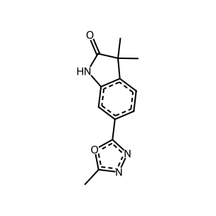 Cc1nnc(-c2ccc3c(c2)NC(=O)C3(C)C)o1